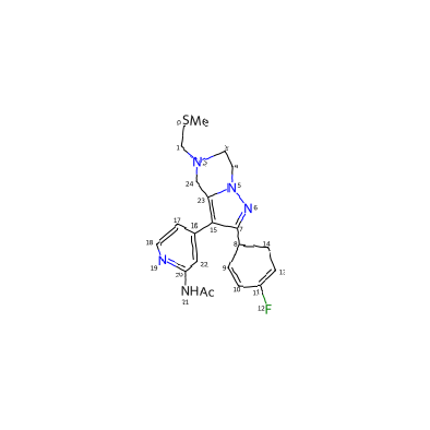 CSCN1CCn2nc(C3C=CC(F)=CC3)c(-c3ccnc(NC(C)=O)c3)c2C1